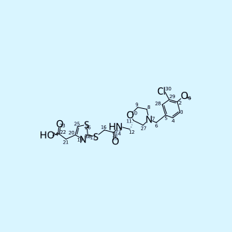 COc1ccc(CN2CCO[C@@H](CNC(=O)CSc3nc(CC(=O)O)cs3)C2)cc1Cl